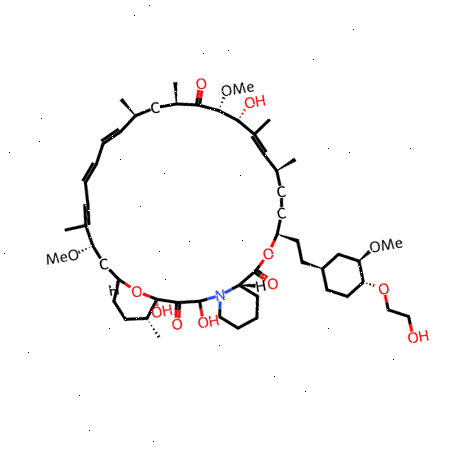 CO[C@H]1C[C@@H]2CC[C@@H](C)[C@@](O)(O2)C(=O)C(O)N2CCCC[C@H]2C(=O)O[C@H](CC[C@@H]2CC[C@@H](OCCO)[C@H](OC)C2)CC[C@H](C)/C=C(\C)[C@@H](O)[C@@H](OC)C(=O)[C@H](C)C[C@H](C)/C=C/C=C/C=C/1C